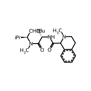 CC(C)[C@@H](C=O)N(C)C(=O)[C@@H](NC(=O)C1c2ccccc2CCN1C)C(C)(C)C